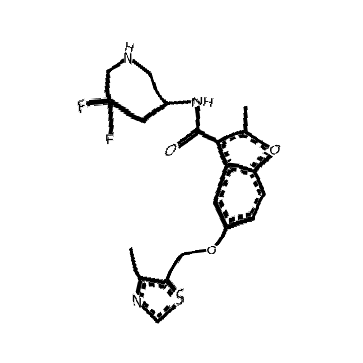 Cc1ncsc1COc1ccc2oc(C)c(C(=O)NC3CNCC(F)(F)C3)c2c1